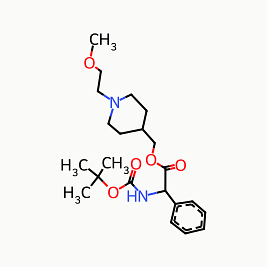 COCCN1CCC(COC(=O)C(NC(=O)OC(C)(C)C)c2ccccc2)CC1